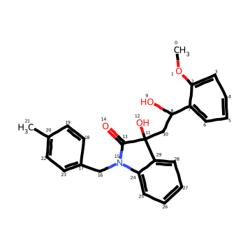 COc1ccccc1C(O)CC1(O)C(=O)N(Cc2ccc(C)cc2)c2ccccc21